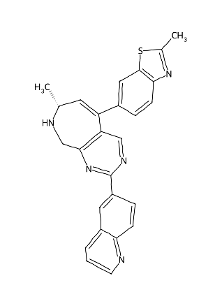 Cc1nc2ccc(C3=C[C@@H](C)NCc4nc(-c5ccc6ncccc6c5)ncc43)cc2s1